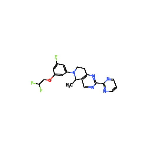 CC1c2cnc(-c3ncccn3)nc2CCN1c1cc(F)cc(OCC(F)F)c1